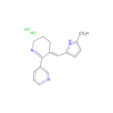 Cl.Cl.O=C(O)c1ccc(C=C2CCCN=C2c2cccnc2)[nH]1